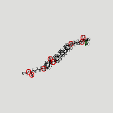 C=COC(=O)CCCCCOc1ccc(C(=O)Oc2ccc(-c3ccc(-c4ccc(OCCCCOC(=O)C(=C)F)cc4)cc3)cc2)cc1